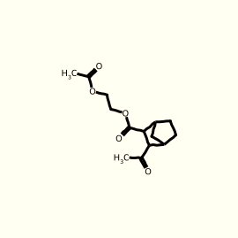 CC(=O)OCCOC(=O)C1C2CCC(C2)C1C(C)=O